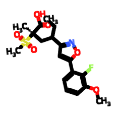 CCC(C[C@](C)(C(=O)O)S(C)(=O)=O)c1cc(-c2cccc(OC)c2F)on1